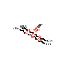 CCCCCCCCCCCCCOCCOCCOCCCCCCCCCCCCC.CCCCCCCCCCCCCOCCOCCOCCCCCCCCCCCCC.O=S(=O)([O-])[O-].[Na+].[Na+]